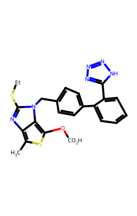 CCSc1nc2c(C)sc(OC(=O)O)c2n1Cc1ccc(-c2ccccc2-c2nnn[nH]2)cc1